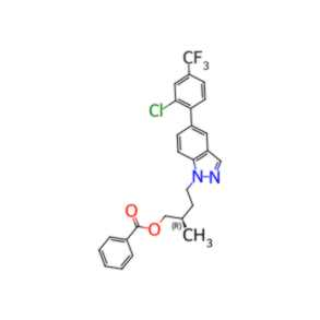 C[C@H](CCn1ncc2cc(-c3ccc(C(F)(F)F)cc3Cl)ccc21)COC(=O)c1ccccc1